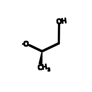 C[C@H]([O])CO